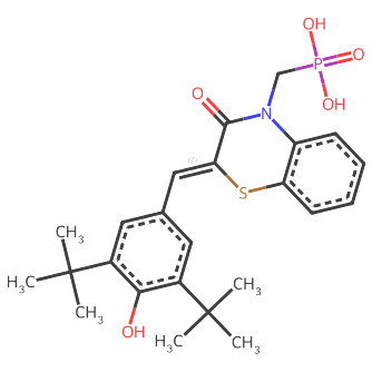 CC(C)(C)c1cc(/C=C2\Sc3ccccc3N(CP(=O)(O)O)C2=O)cc(C(C)(C)C)c1O